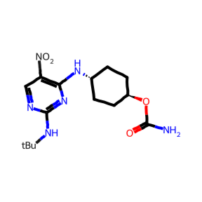 CC(C)(C)Nc1ncc([N+](=O)[O-])c(N[C@H]2CC[C@H](OC(N)=O)CC2)n1